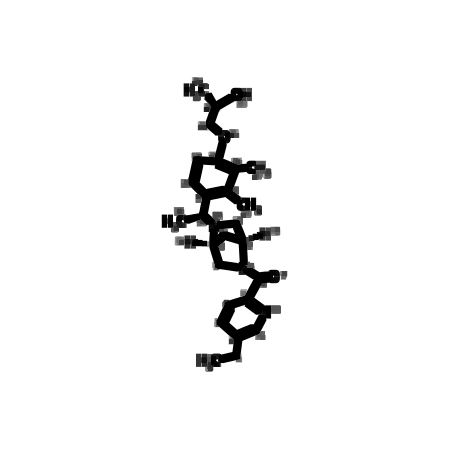 CCc1ccc(C(=O)N2C[C@@H]3C[C@H]2CN3[C@@H](C)c2ccc(OC[C@@H](C)O)c(C)c2C)nc1